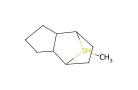 C[SH]1C2CCC1C1CCCC12